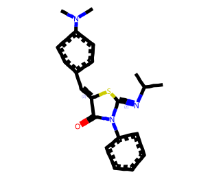 CC(C)/N=C1\S/C(=C\c2ccc(N(C)C)cc2)C(=O)N1c1ccccc1